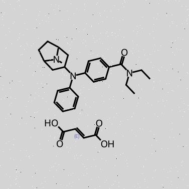 CCN(CC)C(=O)c1ccc(N(c2ccccc2)C2CC3CCC(C2)N3C)cc1.O=C(O)/C=C/C(=O)O